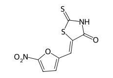 O=C1NC(=S)SC1=Cc1ccc([N+](=O)[O-])o1